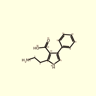 NCCc1[nH]cc(-c2ccccc2)c1C(=O)O